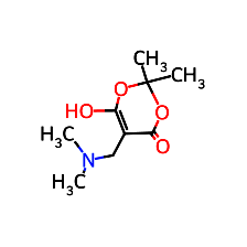 CN(C)CC1=C(O)OC(C)(C)OC1=O